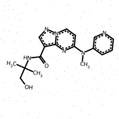 CN(c1cccnc1)c1ccn2ncc(C(=O)NC(C)(C)CO)c2n1